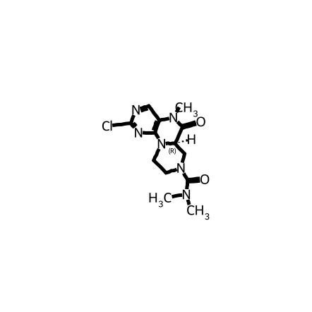 CN(C)C(=O)N1CCN2c3nc(Cl)ncc3N(C)C(=O)[C@H]2C1